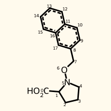 O=C(O)C1CCCN1OCc1ccc2ccccc2c1